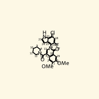 COc1cc2c(C(=O)N3CCCCC3)cn(-c3c(F)cc(Cl)c4[nH]ccc34)c(=O)c2cc1OC